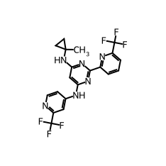 CC1(Nc2cc(Nc3ccnc(C(F)(F)F)c3)nc(-c3cccc(C(F)(F)F)n3)n2)CC1